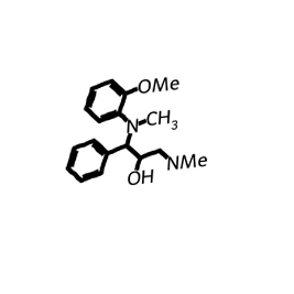 CNCC(O)C(c1ccccc1)N(C)c1ccccc1OC